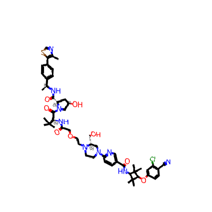 Cc1ncsc1-c1ccc([C@H](C)NC(=O)[C@@H]2C[C@@H](O)CN2C(=O)[C@@H](NC(=O)COCCN2CCN(c3ccc(C(=O)NC4C(C)(C)C(Oc5ccc(C#N)c(Cl)c5)C4(C)C)cn3)C[C@H]2CO)C(C)(C)C)cc1